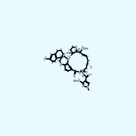 COc1nn(C)cc1C(=O)NS1(=O)=NC(=O)c2ccc3c(c2)N(C[C@@H]2CCO[C@H]2C(OC)/C=C/C[C@H](C)C1)C[C@@]1(CCCc2cc(Cl)ccc21)CO3